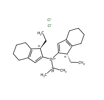 CC[C@@H]1[C]([Zr+2]([C]2=CC3=C(CCCC3)[C@H]2CC)[SiH](C)C)=CC2=C1CCCC2.[Cl-].[Cl-]